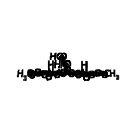 COCCOCCOCC(=O)NCCOCCOCC(COCCOCCNC(=O)COCCOCCOC)OCC(=O)NCCC(=O)O